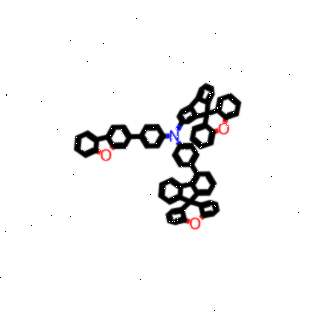 c1ccc2c(c1)Oc1ccccc1C21c2ccccc2-c2ccc(N(c3ccc(-c4ccc5c(c4)oc4ccccc45)cc3)c3ccc(-c4cccc5c4-c4ccccc4C54c5ccccc5Oc5ccccc54)cc3)cc21